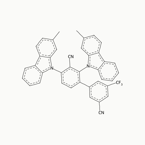 Cc1ccc2c3ccccc3n(-c3ccc(-c4cc(C#N)cc(C(F)(F)F)c4)c(-n4c5ccccc5c5ccc(C)cc54)c3C#N)c2c1